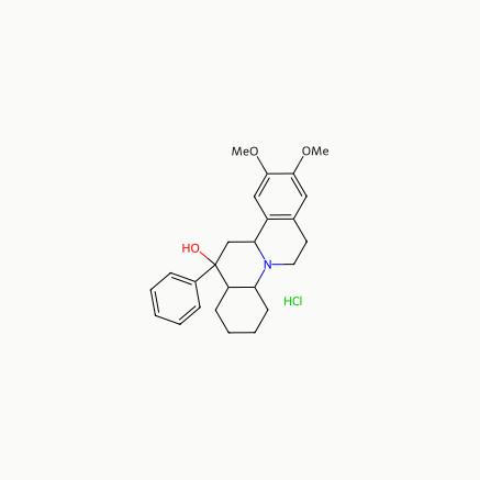 COc1cc2c(cc1OC)C1CC(O)(c3ccccc3)C3CCCCC3N1CC2.Cl